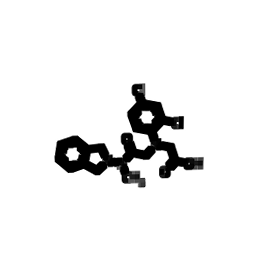 CN(C(=O)CN(CC(=O)O)c1ccc(Cl)cc1Cl)N1Cc2ccccc2C1